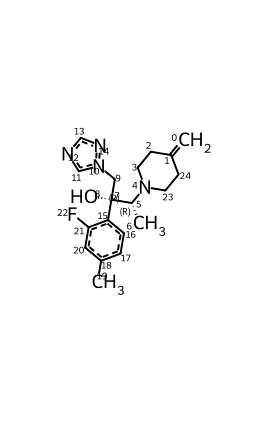 C=C1CCN([C@H](C)[C@](O)(Cn2cncn2)c2ccc(C)cc2F)CC1